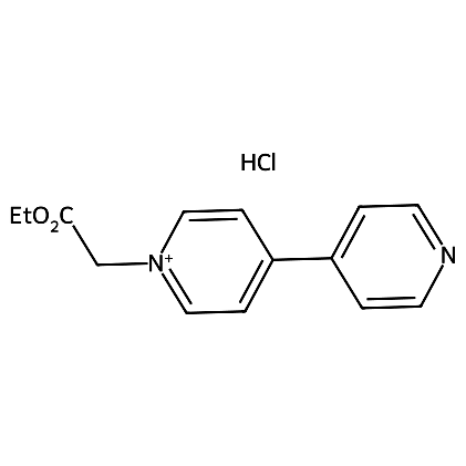 CCOC(=O)C[n+]1ccc(-c2ccncc2)cc1.Cl